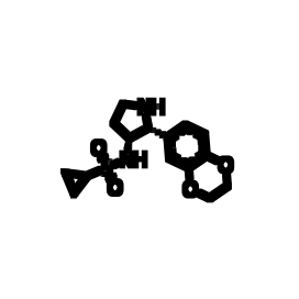 O=S(=O)(N[C@H]1CCN[C@@H]1c1ccc2c(c1)OCCO2)C1CC1